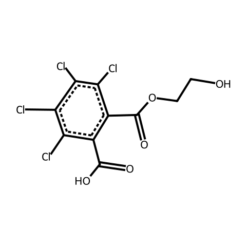 O=C(O)c1c(Cl)c(Cl)c(Cl)c(Cl)c1C(=O)OCCO